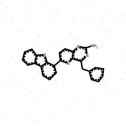 Nc1nc(Cc2ccccc2)c2nc(-c3cccc4c3sc3ccccc34)ccc2n1